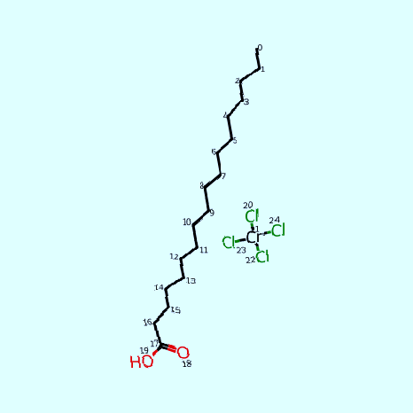 CCCCCCCCCCCCCCCCCC(=O)O.[Cl][Cr]([Cl])([Cl])[Cl]